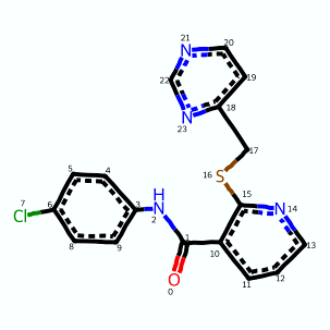 O=C(Nc1ccc(Cl)cc1)c1cccnc1SCc1ccncn1